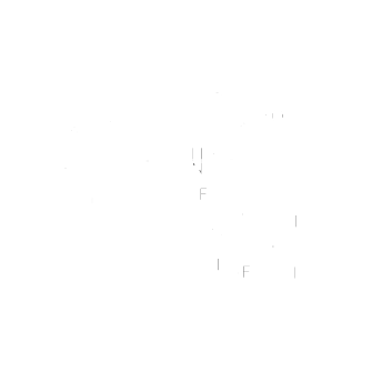 O=C(O)C(CC(C(F)(F)F)C(F)(F)F)NCc1ccccc1